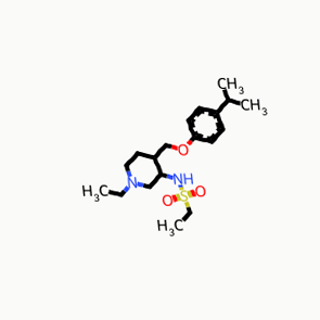 CCN1CCC(COc2ccc(C(C)C)cc2)C(NS(=O)(=O)CC)C1